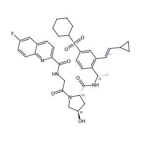 C[C@H](NC(=O)[C@@H]1C[C@@H](O)CN1C(=O)CNC(=O)c1ccc2cc(F)ccc2n1)c1ccc(S(=O)(=O)C2CCCCC2)cc1/C=C/C1CC1